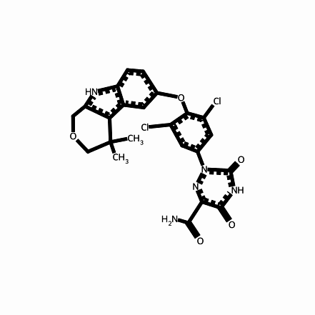 CC1(C)COCc2[nH]c3ccc(Oc4c(Cl)cc(-n5nc(C(N)=O)c(=O)[nH]c5=O)cc4Cl)cc3c21